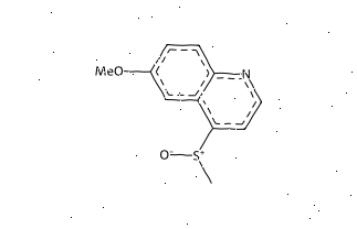 COc1ccc2nccc([S+](C)[O-])c2c1